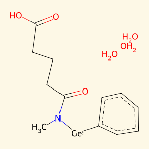 C[N]([Ge][c]1ccccc1)C(=O)CCCC(=O)O.O.O.O